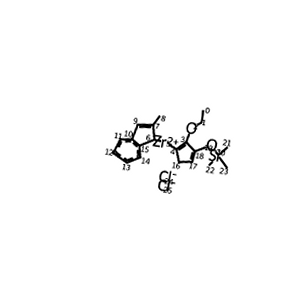 CCOC1=[C]([Zr+2][CH]2C(C)=Cc3ccccc32)CC=C1O[Si](C)(C)C.[Cl-].[Cl-]